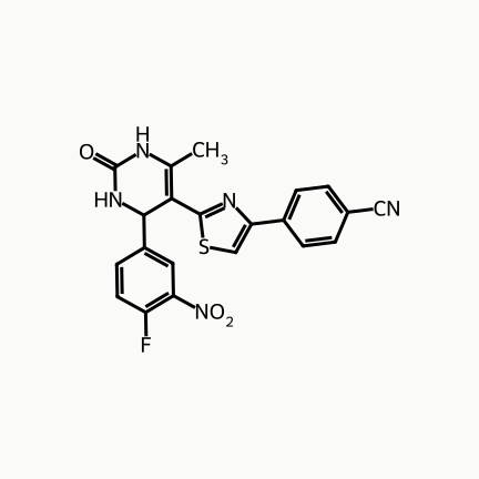 CC1=C(c2nc(-c3ccc(C#N)cc3)cs2)C(c2ccc(F)c([N+](=O)[O-])c2)NC(=O)N1